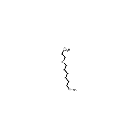 CCCCCCCCCCCCCOCCC(=O)O